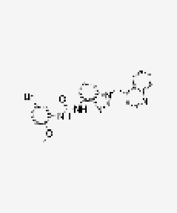 COc1ccc(Br)cc1NC(=O)Nc1cccc2c1ncn2Cc1ccnc2ccccc12